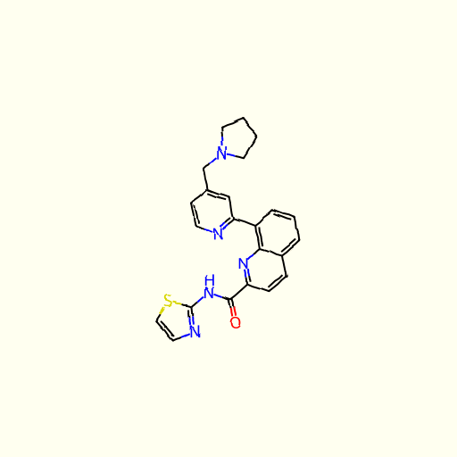 O=C(Nc1nccs1)c1ccc2cccc(-c3cc(CN4CCCC4)ccn3)c2n1